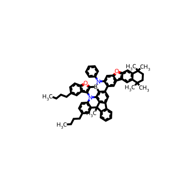 CCCCc1ccc2c(c1)C1(C)c3ccccc3-c3cc4c5c(c31)N2c1c(oc2ccc(CCCC)cc12)B5N(c1ccccc1)c1cc2oc3cc5c(cc3c2cc1-4)C(C)(C)CCC5(C)C